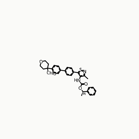 Cc1nsc(-c2ccc(-c3ccc(C4(C=O)CCOCC4)cc3)cc2)c1NC(=O)O[C@H](C)c1ccccc1